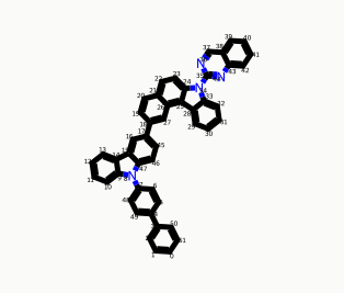 c1ccc(-c2ccc(-n3c4ccccc4c4cc(-c5ccc6ccc7c(c6c5)c5ccccc5n7-c5ncc6ccccc6n5)ccc43)cc2)cc1